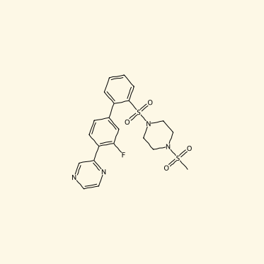 CS(=O)(=O)N1CCN(S(=O)(=O)c2ccccc2-c2ccc(-c3cnccn3)c(F)c2)CC1